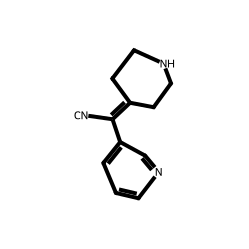 [C-]#[N+]C(=C1CCNCC1)c1cccnc1